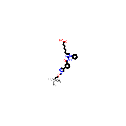 C[Si](C)(C)CCOCn1cc(-c2cccc(C(=O)Nc3nc(CCCCCC(=O)O)cn3-c3ccccc3)c2)cn1